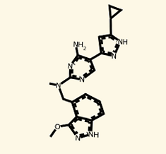 COc1n[nH]c2cccc(CN(C)c3ncc(-c4cc(C5CC5)[nH]n4)c(N)n3)c12